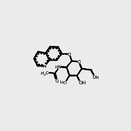 CC(=O)NC1C(Oc2ccc3cccnc3c2)OC(CO)C(O)C1O